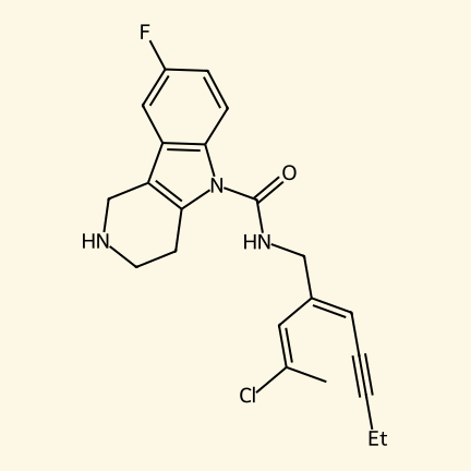 CCC#C/C=C(\C=C(/C)Cl)CNC(=O)n1c2c(c3cc(F)ccc31)CNCC2